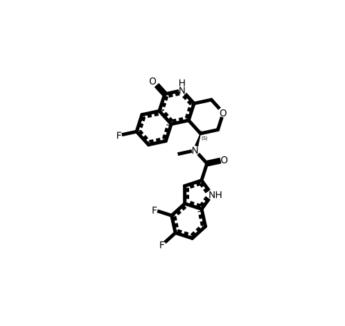 CN(C(=O)c1cc2c(F)c(F)ccc2[nH]1)[C@@H]1COCc2[nH]c(=O)c3cc(F)ccc3c21